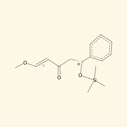 CO/C=C/C(=O)C[C@@H](O[Si](C)(C)C)c1ccccc1